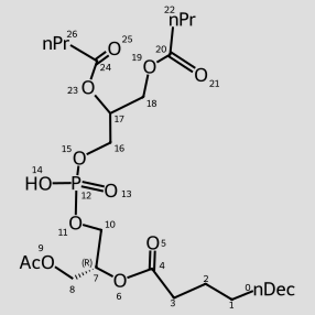 CCCCCCCCCCCCCC(=O)O[C@H](COC(C)=O)COP(=O)(O)OCC(COC(=O)CCC)OC(=O)CCC